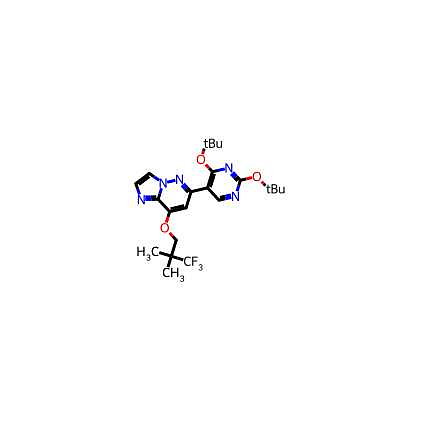 CC(C)(C)Oc1ncc(-c2cc(OCC(C)(C)C(F)(F)F)c3nccn3n2)c(OC(C)(C)C)n1